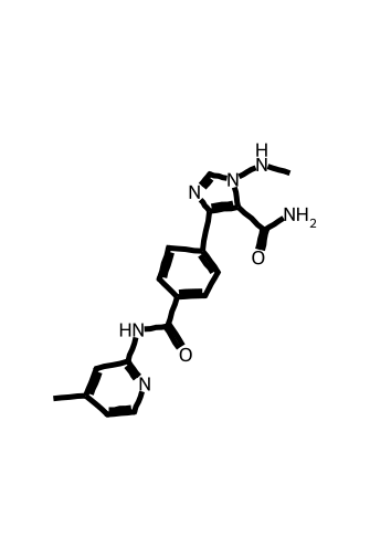 CNn1cnc(-c2ccc(C(=O)Nc3cc(C)ccn3)cc2)c1C(N)=O